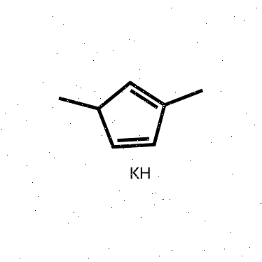 C[C]1C=CC(C)=C1.[KH]